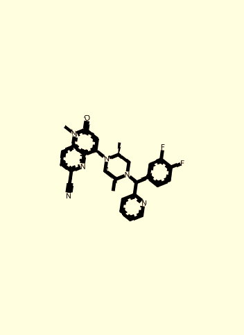 CC1CN(c2cc(=O)n(C)c3ccc(C#N)nc23)[C@@H](C)CN1C(c1ccc(F)c(F)c1)c1ccccn1